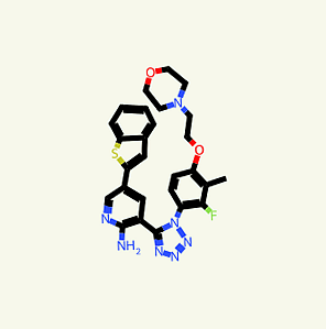 Cc1c(OCCN2CCOCC2)ccc(-n2nnnc2-c2cc(-c3cc4ccccc4s3)cnc2N)c1F